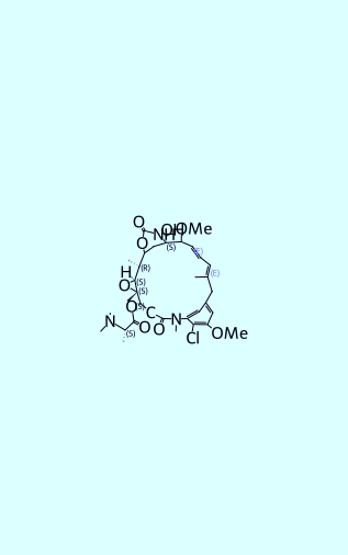 COc1cc2cc(c1Cl)N(C)C(=O)C[C@H](OC(=O)[C@H](C)N(C)C)[C@]1(C)O[C@H]1[C@H](C)C1C[C@@](O)(NC(=O)O1)C(OC)/C=C/C=C(\C)C2